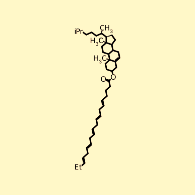 CCC=CCC=CCC=CCC=CCC=CCCCC(=O)OC1CC[C@@]2(C)C(=CCC3C2CC[C@@]2(C)C3CC[C@@H]2[C@H](C)CCCC(C)C)C1